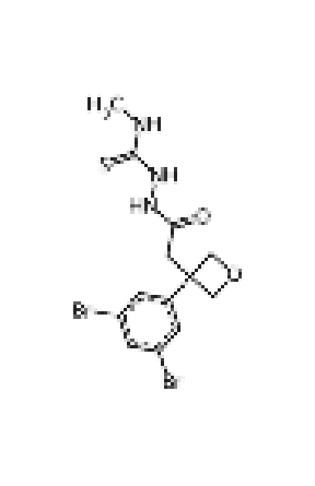 CNC(=S)NNC(=O)CC1(c2cc(Br)cc(Br)c2)COC1